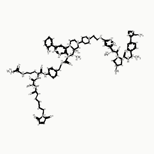 Cc1ncsc1-c1ccc([C@H](C)NC(=O)[C@@H]2C[C@@H](O)CN2C(=O)[C@@H](c2cc(OCCN3CCC(N4CCN5c6cc(-c7ccccc7O)nnc6N(C(=O)OCc6ccc(NC(=O)[C@H](CCCNC(N)=O)NC(=O)[C@@H](NC(=O)CCCCCN7C(=O)C=CC7=O)C(C)C)cc6)[C@@H](C)[C@@H]5C4)CC3)no2)C(C)C)cc1